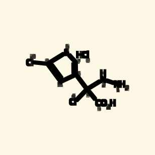 Cl.NNC(Cl)(C(=O)O)c1csc(Cl)c1